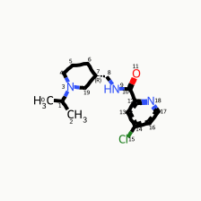 CC(C)N1CCC[C@H](CNC(=O)c2cc(Cl)ccn2)C1